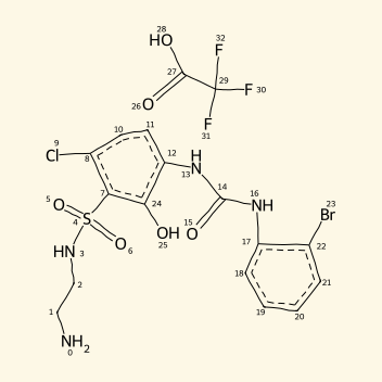 NCCNS(=O)(=O)c1c(Cl)ccc(NC(=O)Nc2ccccc2Br)c1O.O=C(O)C(F)(F)F